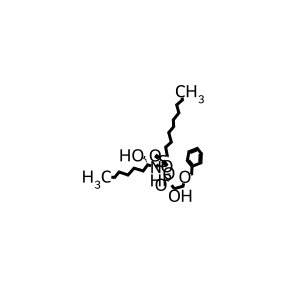 CCCCCCCCCCS(=O)(=O)N[C@@H](CO)CCCCCC.O=P(=O)C(O)COCc1ccccc1